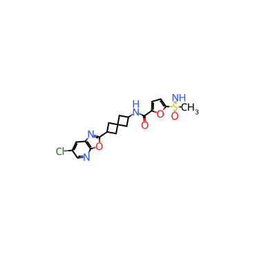 CS(=N)(=O)c1ccc(C(=O)NC2CC3(C2)CC(c2nc4cc(Cl)cnc4o2)C3)o1